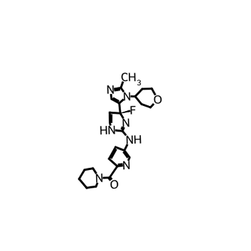 Cc1ncc([C@@]2(F)C=CNC(Nc3ccc(C(=O)N4CCCCC4)nc3)=N2)n1C1CCOCC1